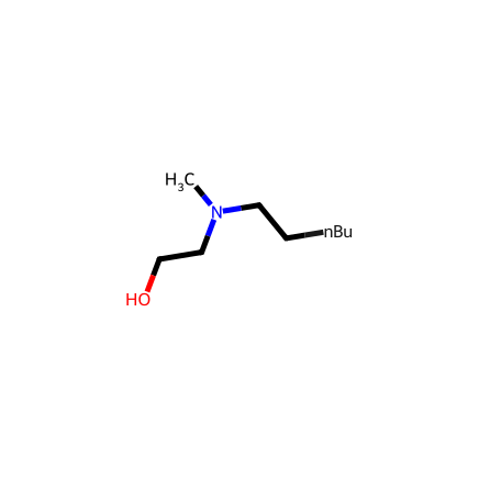 [CH2]CCCCCN(C)CCO